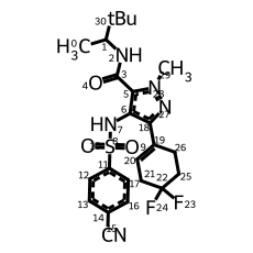 CC(NC(=O)c1c(NS(=O)(=O)c2ccc(C#N)cc2)c(C2=CCC(F)(F)CC2)nn1C)C(C)(C)C